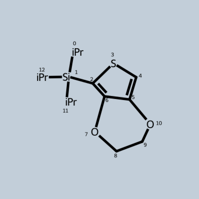 CC(C)[Si](c1scc2c1OCCO2)(C(C)C)C(C)C